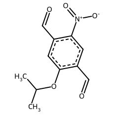 CC(C)Oc1cc(C=O)c([N+](=O)[O-])cc1C=O